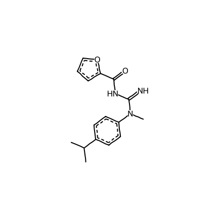 CC(C)c1ccc(N(C)C(=N)NC(=O)c2ccco2)cc1